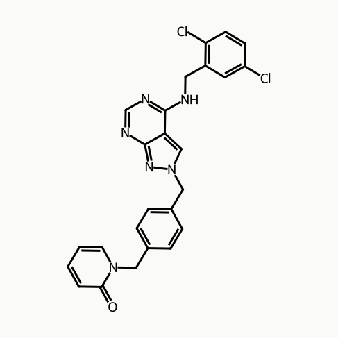 O=c1ccccn1Cc1ccc(Cn2cc3c(NCc4cc(Cl)ccc4Cl)ncnc3n2)cc1